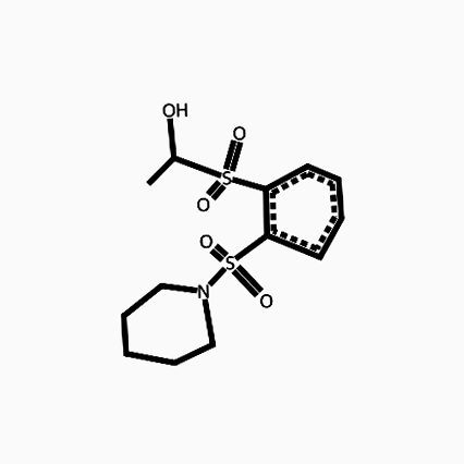 CC(O)S(=O)(=O)c1ccccc1S(=O)(=O)N1CCCCC1